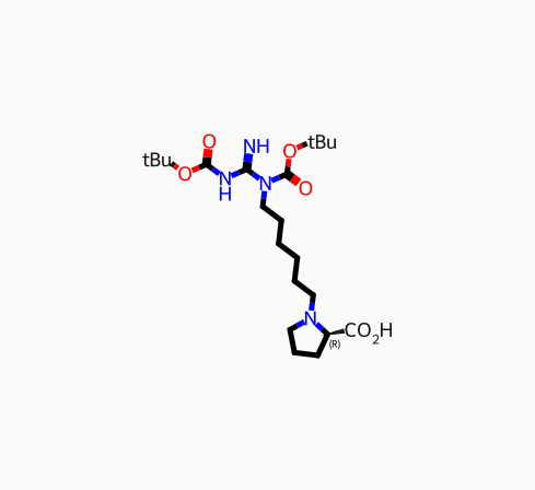 CC(C)(C)OC(=O)NC(=N)N(CCCCCCN1CCC[C@@H]1C(=O)O)C(=O)OC(C)(C)C